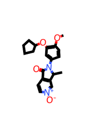 COc1ccc(N2C(=O)c3cc[n+]([O-])cc3C2C)cc1OC1CCCC1